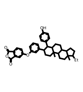 CCC1CCC2C3CCC4C(c5ccc(O)cc5)C(c5cccc(Oc6ccc7c(c6)C(=O)OC7=O)c5)CCC4(C)C3CCC12C